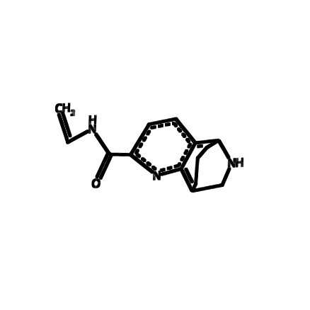 C=CNC(=O)c1ccc2c(n1)=C1CCCC=2NC1